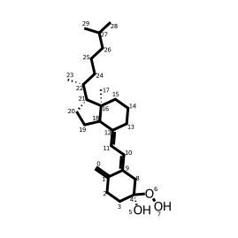 C=C1CC[C@](O)(OO)C/C1=C/C=C1CCC[C@@]2(C)C1CC[C@@H]2[C@H](C)CCCC(C)C